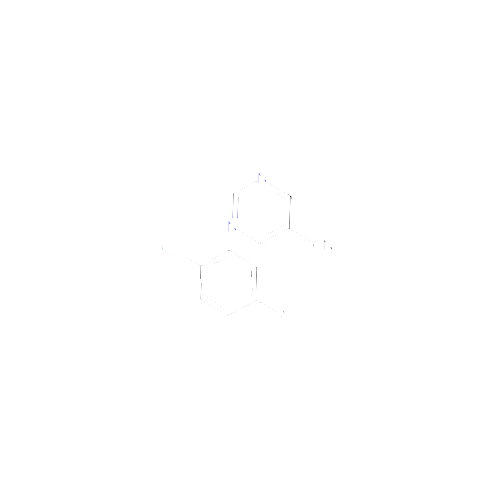 CC(=O)c1ccc(Cl)cc1.N#Cc1cncnc1